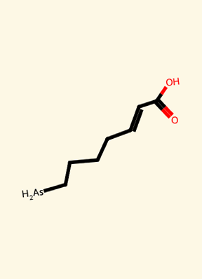 O=C(O)C=CCCCC[AsH2]